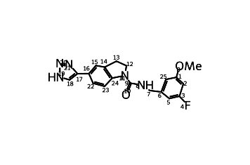 COc1cc(F)cc(CNC(=O)N2CCc3cc(-c4c[nH]nn4)ccc32)c1